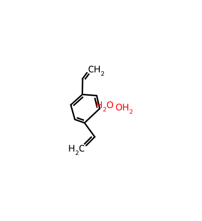 C=Cc1ccc(C=C)cc1.O.O